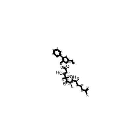 C=C[C@@H]1CC(c2ccccc2)=C(C)[C@H]1OC(=O)C[C@H](O)C(C)(C)C(=O)[C@H](C)[C@@H](O)[C@@H](C)CCCC(=C)C